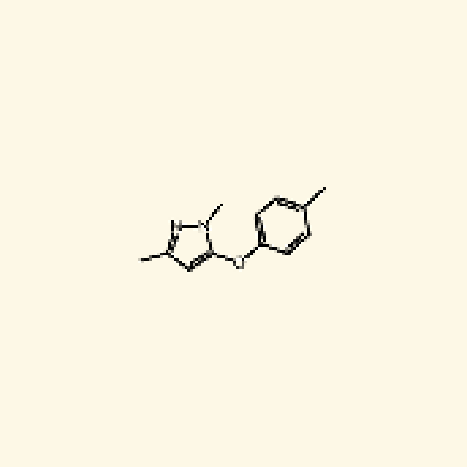 Cc1ccc(Oc2cc(C)nn2C)cc1